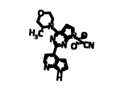 C[C@@H]1COCCN1c1nc(-c2ccnc3[nH]ccc23)nc2c1ccn2S(=O)(=O)C#N